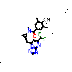 Cc1cc(C(=O)N(C)[C@H]2C/C2=C/c2cc(C(F)F)nc3ncnn23)cc(C)c1C#N